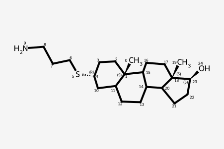 C[C@]12CC[C@@H](SCCCN)CC1CCC1C2CC[C@@]2(C)C1CC[C@@H]2O